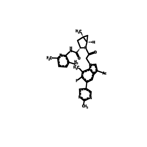 CC(=O)c1cn(CC(=O)N2[C@H](C(=O)Nc3nc(C(F)(F)F)ccc3C)C[C@@]3(C)C[C@@H]23)c2c(C)c(F)c(-c3cnc(C)nc3)cc12